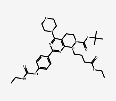 CCNC(=O)Nc1ccc(-c2nc3c(c(N4CCOCC4)n2)CCN(C(=O)OC(C)(C)C)[C@H]3CCCC(=O)OCC)cc1